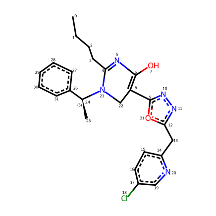 CCCCC1=NC(O)=C(c2nnc(Cc3ccc(Cl)cn3)o2)CN1[C@@H](C)c1ccccc1